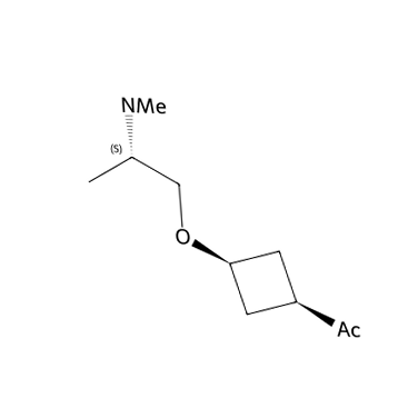 CN[C@@H](C)CO[C@H]1C[C@@H](C(C)=O)C1